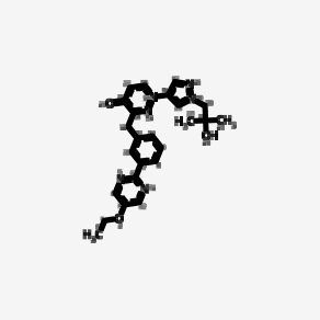 CCOc1cnc(-c2cccc(Cc3nn(-c4cnn(CC(C)(C)O)c4)ccc3=O)c2)nc1